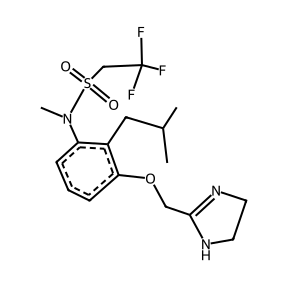 CC(C)Cc1c(OCC2=NCCN2)cccc1N(C)S(=O)(=O)CC(F)(F)F